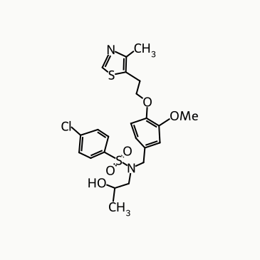 COc1cc(CN(CC(C)O)S(=O)(=O)c2ccc(Cl)cc2)ccc1OCCc1scnc1C